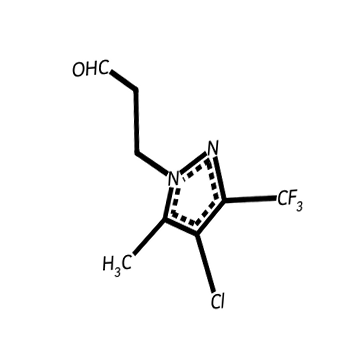 Cc1c(Cl)c(C(F)(F)F)nn1CCC=O